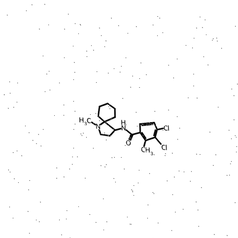 Cc1c(C(=O)NC2CCN(C)C23CCCCC3)ccc(Cl)c1Cl